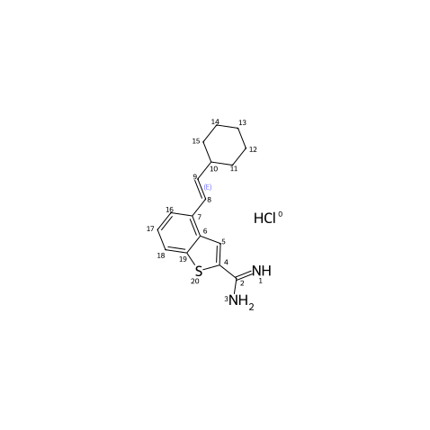 Cl.N=C(N)c1cc2c(/C=C/C3CCCCC3)cccc2s1